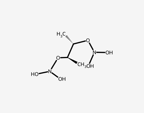 C[C@H](ON(O)O)[C@@H](C)ON(O)O